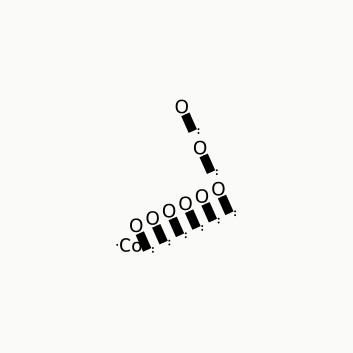 [C]=O.[C]=O.[C]=O.[C]=O.[C]=O.[C]=O.[C]=O.[C]=O.[Co]